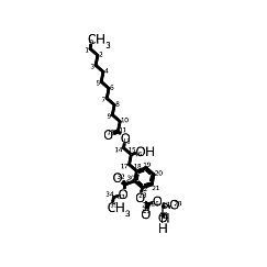 CCCCCCCCCCCC(=O)OCC(O)Cc1cccc(OC(=O)O[PH](=O)O)c1C(=O)OCC